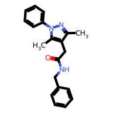 Cc1nn(-c2ccccc2)c(C)c1CC(=O)NCc1ccccc1